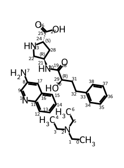 CCN(CC)CC.Nc1cnc2ccccc2c1.O=C(N[C@H]1CN[C@H](C(=O)O)C1)[C@H](O)CCc1ccccc1